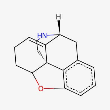 C1=C2[C@H]3Cc4cccc5c4[C@@]2(CCN3)C(CC1)O5